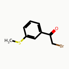 CSc1cccc(C(=O)CBr)c1